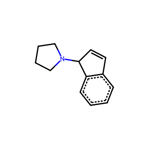 C1=CC(N2CCCC2)c2ccccc21